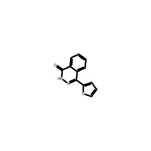 O=c1[nH]nc(-c2ccco2)c2ccccc12